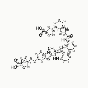 Cn1c(C(=O)Nc2cccc(-c3cccc(NC(=O)c4cc5n(n4)CCC[C@H]5N4CC[C@@H](C(=O)O)C4)c3Cl)c2Cl)nc2c1CCN(CCC13CCC(C(=O)O)(CC1)C3)C2